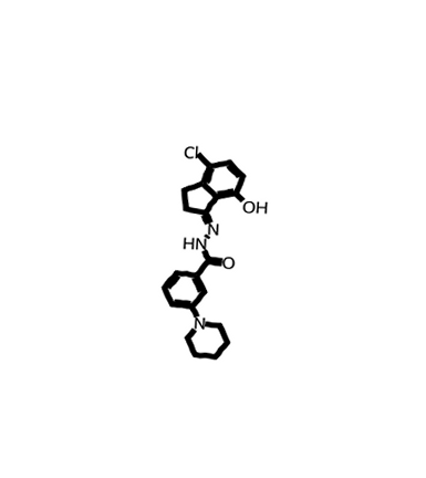 O=C(N/N=C1\CCc2c(Cl)ccc(O)c21)c1cccc(N2CCCCC2)c1